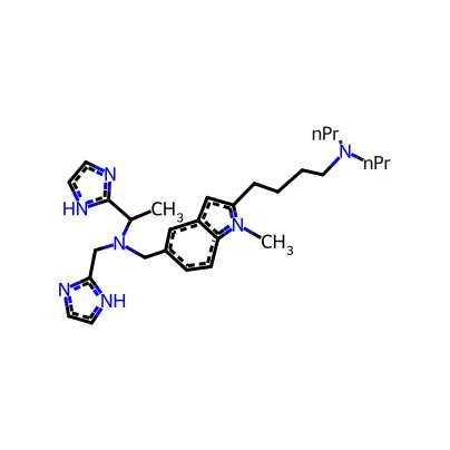 CCCN(CCC)CCCCc1cc2cc(CN(Cc3ncc[nH]3)C(C)c3ncc[nH]3)ccc2n1C